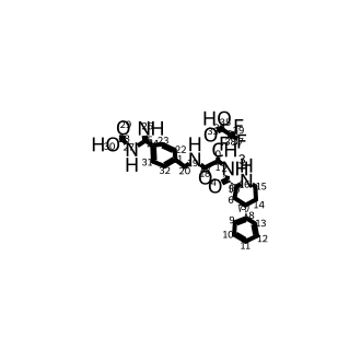 CC(NC(=O)[C@H]1C[C@@H](c2ccccc2)CCN1)C(=O)NCc1ccc(C(=N)NC(=O)O)cc1.O=C(O)C(F)(F)F